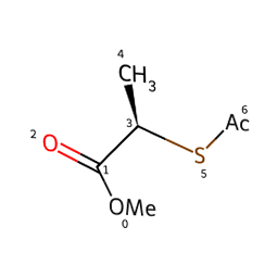 COC(=O)[C@@H](C)SC(C)=O